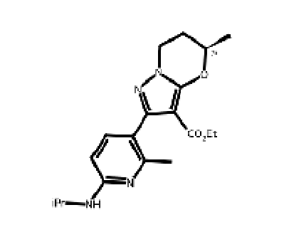 CCOC(=O)c1c(-c2ccc(NC(C)C)nc2C)nn2c1O[C@H](C)CC2